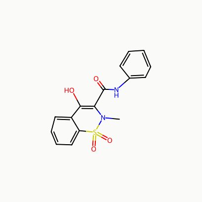 CN1C(C(=O)Nc2ccccc2)=C(O)c2ccccc2S1(=O)=O